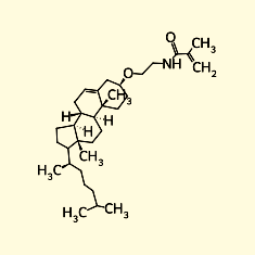 C=C(C)C(=O)NCCO[C@H]1CC[C@@]2(C)C(=CC[C@@H]3[C@@H]2CC[C@]2(C)C([C@H](C)CCCC(C)C)CC[C@@H]32)C1